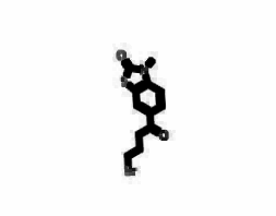 Cn1c(=O)sc2cc(C(=O)CCCBr)ccc21